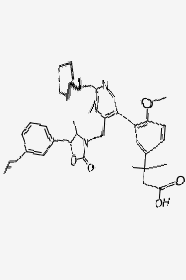 COc1ccc(C(C)(C)CC(=O)O)cc1-c1cnc(N2CCC2)nc1CN1C(=O)OC(c2cccc(F)c2)C1C